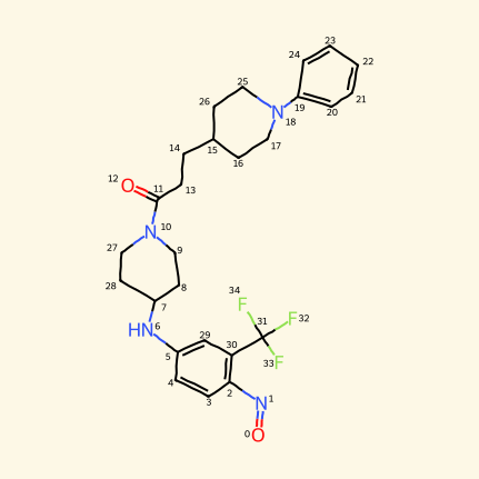 O=Nc1ccc(NC2CCN(C(=O)CCC3CCN(c4ccccc4)CC3)CC2)cc1C(F)(F)F